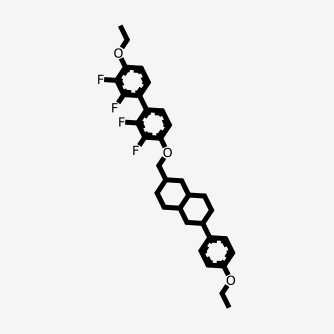 CCOc1ccc(C2CCC3CC(COc4ccc(-c5ccc(OCC)c(F)c5F)c(F)c4F)CCC3C2)cc1